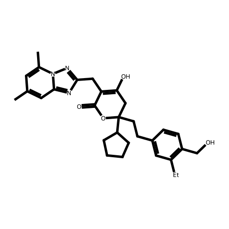 CCc1cc(CCC2(C3CCCC3)CC(O)=C(Cc3nc4cc(C)cc(C)n4n3)C(=O)O2)ccc1CO